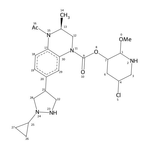 COC1NCC(Cl)CC1OC(=O)N1C[C@H](C)N(C(C)=O)c2ccc(C3CNN(C4CC4)C3)cc21